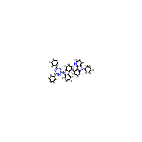 c1ccc(-c2nc(-c3ccccc3)nc(-n3c4ccccc4c4c(-c5cccc6c5c5ncccc5n6-c5ccccc5)cccc43)n2)cc1